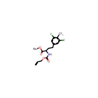 C=CCOC(=O)NC(CCc1cc(F)c(C(F)(F)F)c(F)c1)C(=O)OC(C)(C)C